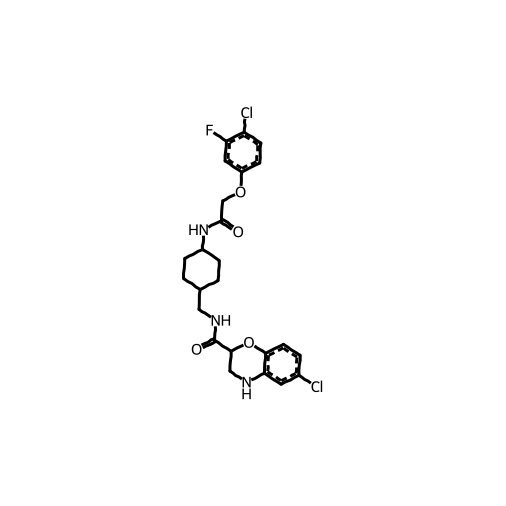 O=C(COc1ccc(Cl)c(F)c1)NC1CCC(CNC(=O)C2CNc3cc(Cl)ccc3O2)CC1